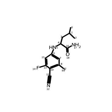 CC(C)CC(Nc1cc(F)c(C#N)c(F)c1)C(N)=O